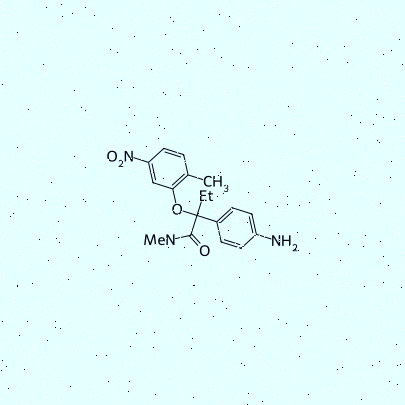 CCC(Oc1cc([N+](=O)[O-])ccc1C)(C(=O)NC)c1ccc(N)cc1